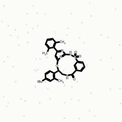 Cc1cc(C(C)(C)C)ccc1C1CNC(=O)c2cccc(c2)S(=O)(=O)Nc2nc(cc(-c3c(C)cccc3C)n2)O1